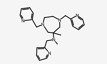 CN(Cc1ccccn1)C1(C)CN(Cc2ccccn2)CCN(Cc2ccccn2)C1